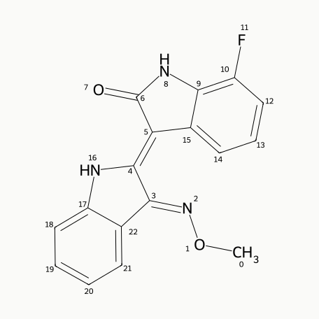 CO/N=C1/C(=C2/C(=O)Nc3c(F)cccc32)Nc2ccccc21